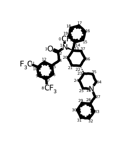 CN(C(=O)Cc1cc(C(F)(F)F)cc(C(F)(F)F)c1)[C@]1(c2ccccc2)CC[C@@H](C2CCN(Cc3ccccc3)CC2)CC1